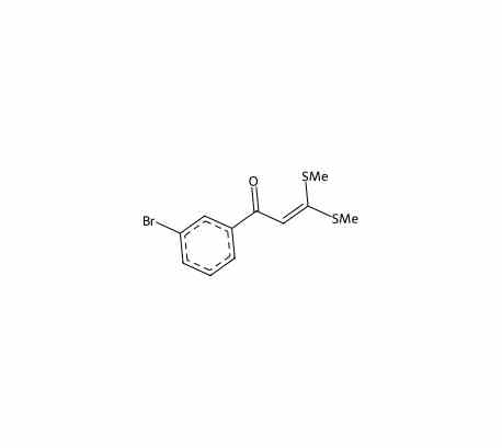 CSC(=CC(=O)c1cccc(Br)c1)SC